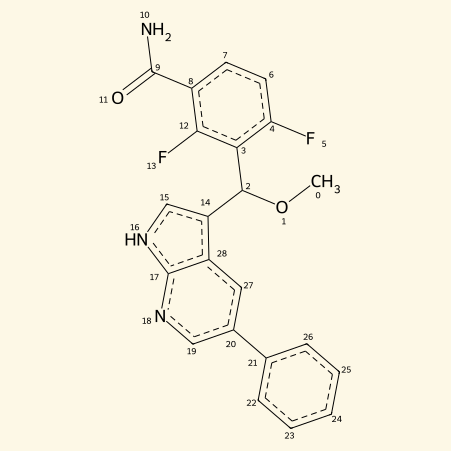 COC(c1c(F)ccc(C(N)=O)c1F)c1c[nH]c2ncc(-c3ccccc3)cc12